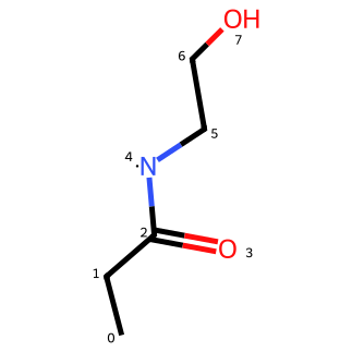 CCC(=O)[N]CCO